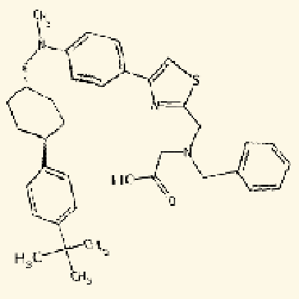 CN(C[C@H]1CC[C@H](c2ccc(C(C)(C)C)cc2)CC1)c1ccc(-c2csc(CN(CC(=O)O)Cc3ccccc3)n2)cc1